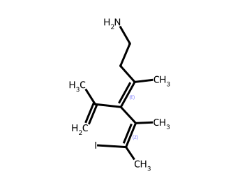 C=C(C)C(/C(C)=C(/C)I)=C(/C)CCN